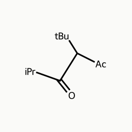 CC(=O)C(C(=O)C(C)C)C(C)(C)C